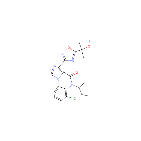 CCC(C)n1c(=O)c2c(-c3noc(C(C)(C)OC)n3)ncn2c2cccc(Cl)c21